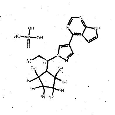 O=P(O)(O)O.[2H]C1([2H])C([C@@H](CC#N)n2cc(-c3ncnc4[nH]ccc34)cn2)C([2H])([2H])C([2H])([2H])C1([2H])[2H]